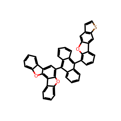 c1ccc2c(c1)oc1c2cc(-c2c3ccccc3c(-c3cccc4c3oc3cc5ccsc5cc34)c3ccccc23)c2oc3ccccc3c21